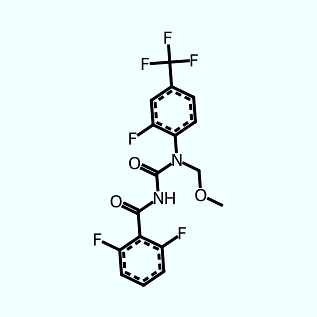 COCN(C(=O)NC(=O)c1c(F)cccc1F)c1ccc(C(F)(F)F)cc1F